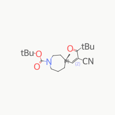 CC(C)(C)OC(=O)N1CCC[C@@](C)(/C=C(/C#N)C(=O)C(C)(C)C)CC1